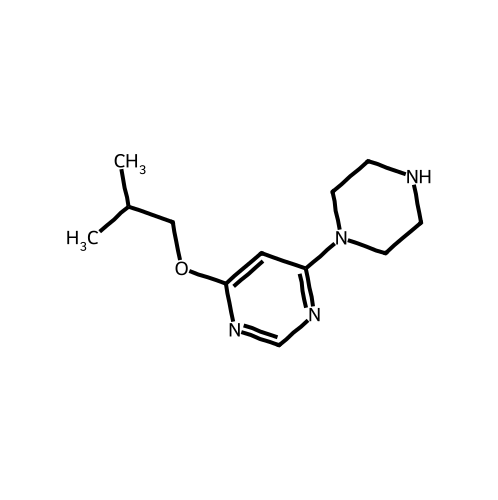 CC(C)COc1cc(N2CCNCC2)ncn1